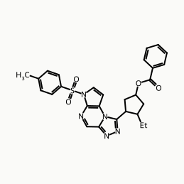 CCC1CC(OC(=O)c2ccccc2)CC1c1nnc2cnc3c(ccn3S(=O)(=O)c3ccc(C)cc3)n12